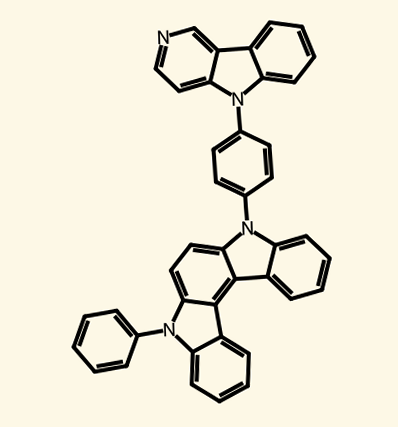 c1ccc(-n2c3ccccc3c3c4c5ccccc5n(-c5ccc(-n6c7ccccc7c7cnccc76)cc5)c4ccc32)cc1